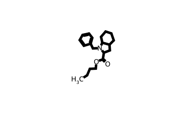 CCCCOC(=O)C1CC2CCCCC2N1Cc1ccccc1